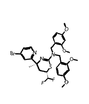 COc1ccc(CN(Cc2ccc(OC)cc2OC)C2=N[C@](C)(c3cc(Br)ccn3)C[C@@H](C(F)F)S2)c(OC)c1